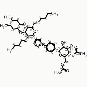 CCCCOC[C@H]1O[C@H](c2cn(-c3ccc([C@H]4O[C@H](COC(C)=O)[C@@H](OC(C)=O)[C@H](O)[C@@H]4O)cc3)nn2)[C@@H](OCCCC)[C@@H](OCCCC)[C@@H]1OCCCC